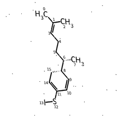 CC(C)=CCC[C@H](C)[C@@H]1C=CC(SI)=CC1